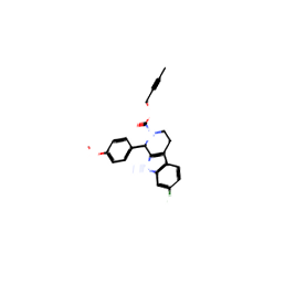 CC#CCOC(=O)N1CCc2c([nH]c3cc(Cl)ccc23)C1c1ccc(OC)cc1